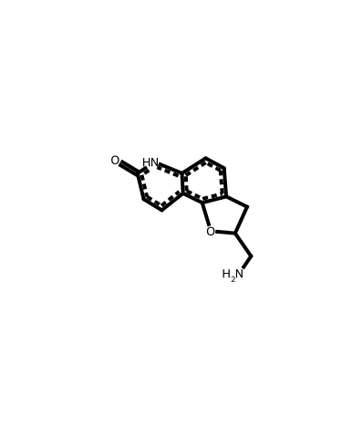 NCC1Cc2ccc3[nH]c(=O)ccc3c2O1